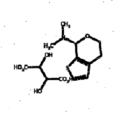 CN(C)[C@H]1OCCc2ccsc21.O=C(O)C(O)C(O)C(=O)O